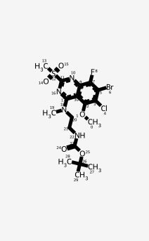 COc1c(Cl)c(Br)c(F)c2nc(S(C)(=O)=O)nc(N(C)CCNC(=O)OC(C)(C)C)c12